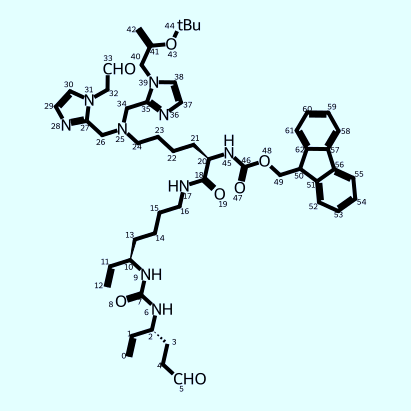 C=C[C@@H](CCC=O)NC(=O)N[C@@H](C=C)CCCCNC(=O)[C@@H](CCCCN(Cc1nccn1CC=O)Cc1nccn1CC(=C)OC(C)(C)C)NC(=O)OCC1c2ccccc2-c2ccccc21